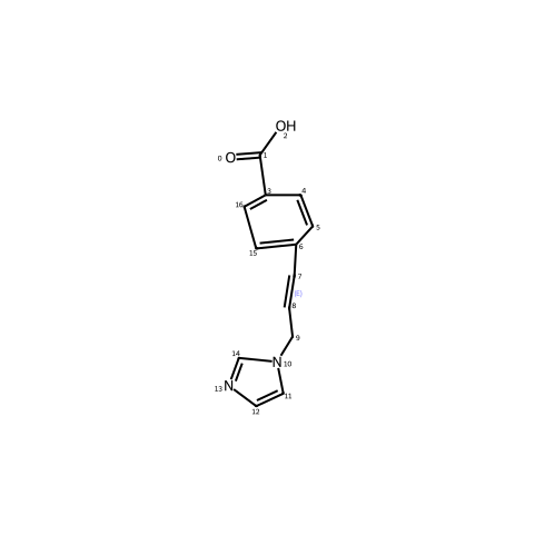 O=C(O)c1ccc(/C=C/Cn2ccnc2)cc1